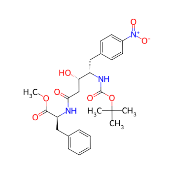 COC(=O)[C@H](Cc1ccccc1)NC(=O)C[C@H](O)[C@H](Cc1ccc([N+](=O)[O-])cc1)NC(=O)OC(C)(C)C